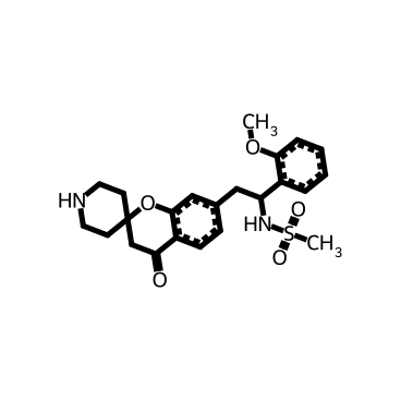 COc1ccccc1C(Cc1ccc2c(c1)OC1(CCNCC1)CC2=O)NS(C)(=O)=O